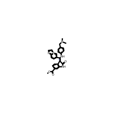 COC(=O)c1ccc2c(c1)NC(=O)/C2=C(\Nc1ccc(CN(C)C)cc1)c1ccc2nccn2c1